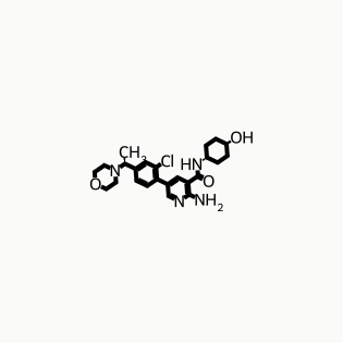 C[C@H](c1ccc(-c2cnc(N)c(C(=O)N[C@H]3CC[C@H](O)CC3)c2)c(Cl)c1)N1CCOCC1